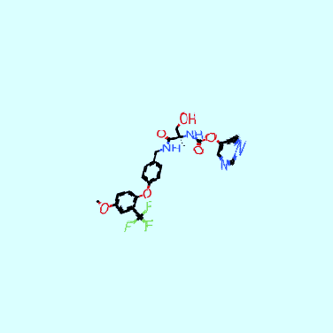 COc1ccc(Oc2ccc(CNC(=O)[C@@](C)(CO)NC(=O)Oc3cncnc3)cc2)c(C(F)(F)F)c1